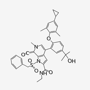 CCNC(=O)c1cc2c(n1S(=O)(=O)Cc1ccccc1)C(=C=O)N(C)C=C2c1cc(C(C)(C)O)ccc1Oc1c(C)cc(C2CC2)cc1C